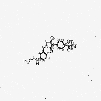 CCNc1cc(CN2CC(=O)N(c3ccc(S(=O)(=O)C(F)(F)F)cc3)C2=O)ccn1